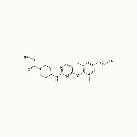 Cc1cc(/C=C/C#N)cc(C)c1Oc1ccnc(NC2CCN(C(=O)OC(C)(C)C)CC2)n1